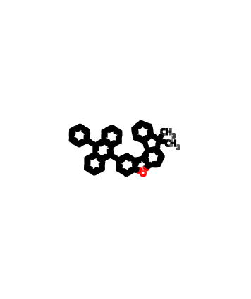 CC1(C)c2ccccc2-c2c1ccc1oc3ccc(-c4c5ccccc5c(-c5ccccc5)c5ccccc45)cc3c21